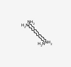 NCCCCCCCCCCCCCCN.NCCCCCCCCCCCCCN